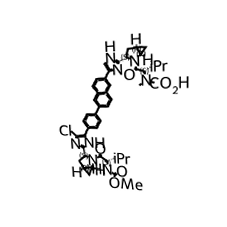 COC(=O)N[C@H](C(=O)N1[C@@H]2C[C@@H]2C[C@H]1c1nc(Cl)c(-c2ccc(-c3ccc4cc(-c5c[nH]c([C@@H]6C[C@H]7C[C@H]7N6C(=O)[C@H](C(C)C)N(C)C(=O)O)n5)ccc4c3)cc2)[nH]1)C(C)C